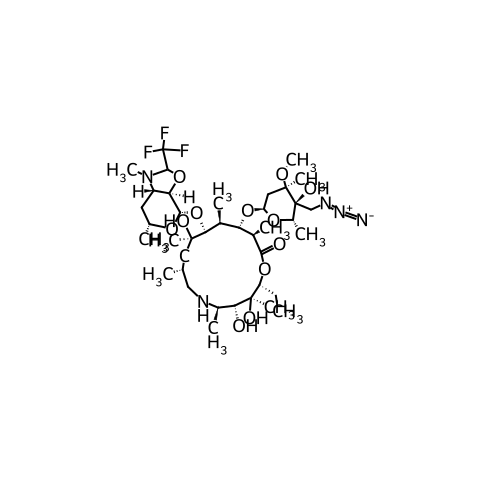 CC[C@H]1OC(=O)[C@H](C)[C@@H](O[C@H]2C[C@@](C)(OC)[C@](O)(CN=[N+]=[N-])[C@H](C)O2)[C@H](C)[C@@H](O[C@@H]2O[C@H](C)C[C@H]3[C@H]2OC(C(F)(F)F)N3C)[C@](C)(O)C[C@@H](C)CN[C@H](C)[C@@H](O)[C@]1(C)O